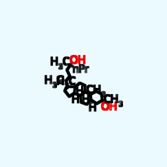 CCC[C@@](C)(O)CC[C@@H](C)C1CC[C@H]2[C@@H]3CC[C@H]4C[C@@](C)(O)CC[C@]4(C)[C@H]3CC[C@]12C